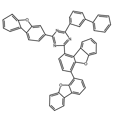 c1ccc(-c2cccc(-c3nc(-c4ccc5c(c4)oc4ccccc45)nc(-c4ccc(-c5cccc6c5oc5ccccc56)c5oc6ccccc6c45)n3)c2)cc1